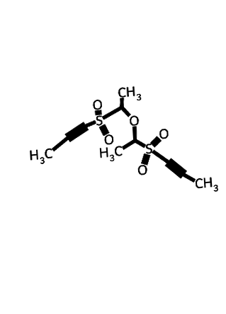 CC#CS(=O)(=O)C(C)OC(C)S(=O)(=O)C#CC